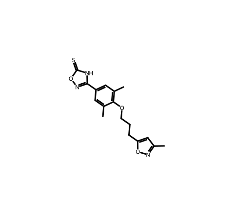 Cc1cc(CCCOc2c(C)cc(-c3noc(=S)[nH]3)cc2C)on1